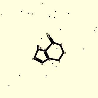 O=C1CCCc2cc[nH]c21